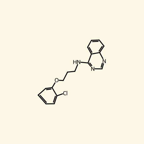 Clc1ccccc1OCCCNc1ncnc2ccccc12